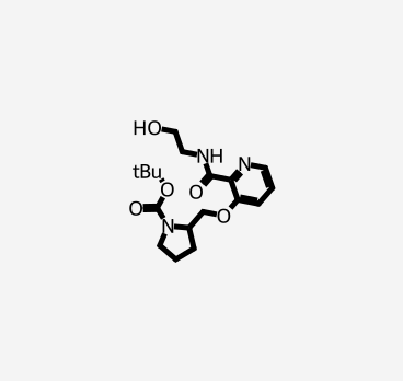 CC(C)(C)OC(=O)N1CCCC1COc1cccnc1C(=O)NCCO